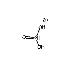 O=[PH](O)O.[Zn]